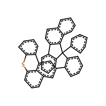 c1ccc(C2(c3ccccc3-c3cc4c5c(cccc5c3)Sc3ccccc3-4)c3ccccc3-c3ccc4ccccc4c32)cc1